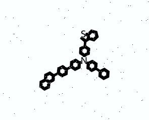 c1ccc(-c2ccc(N(c3ccc(-c4ccc(-c5ccc6ccccc6c5)cc4)cc3)c3ccc(-c4csc5ccccc45)cc3)cc2)cc1